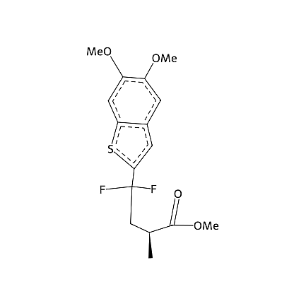 COC(=O)[C@@H](C)CC(F)(F)c1cc2cc(OC)c(OC)cc2s1